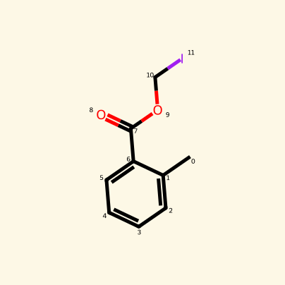 Cc1ccccc1C(=O)OCI